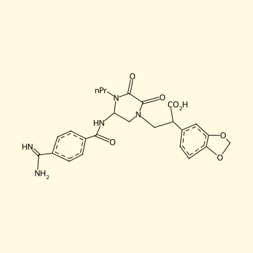 CCCN1C(=O)C(=O)N(CC(C(=O)O)c2ccc3c(c2)OCO3)CC1NC(=O)c1ccc(C(=N)N)cc1